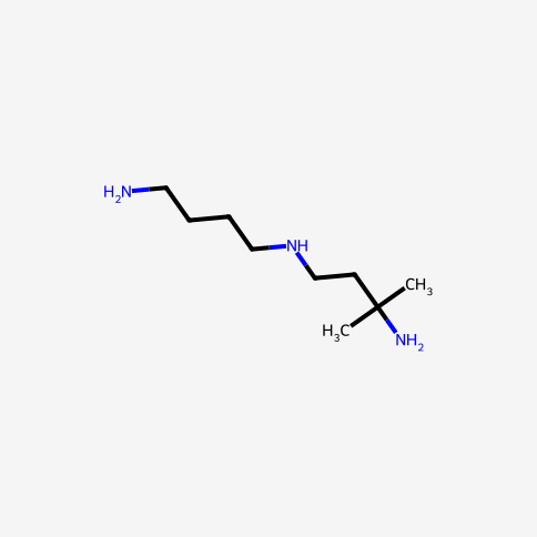 CC(C)(N)CCNCCCCN